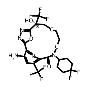 Nc1cc(C(F)(F)F)c2nc1-c1nnc(o1)[C@@](O)(C(F)(F)F)CCCCCN(C1CCC(F)(F)CC1)C2=O